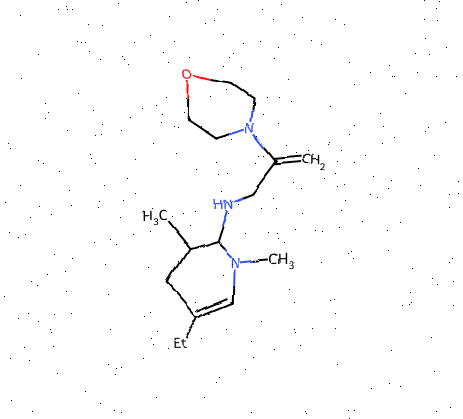 C=C(CNC1C(C)CC(CC)=CN1C)N1CCOCC1